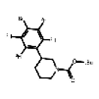 [2H]c1c([2H])c(C2CCCN(C(=O)OC(C)(C)C)C2)c([2H])c([2H])c1Br